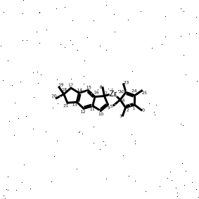 CC1=C(C)[C](C)([Zr][C]2(C)C=Cc3cc4c(cc32)CC(C)(C)C4)C(C)=C1C